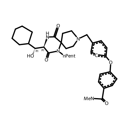 CCCCCN1C(=O)[C@@H]([C@H](O)C2CCCCC2)NC(=O)C12CCN(Cc1ccc(Oc3ccc(C(=O)NC)cc3)cc1)CC2